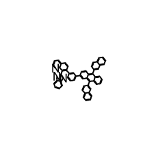 c1ccc2cc(-c3c4ccccc4c(-c4ccc5ccccc5c4)c4cc(-c5ccc6c(c5)c5ccc7cccnc7c5c5nc7ccccc7n65)ccc34)ccc2c1